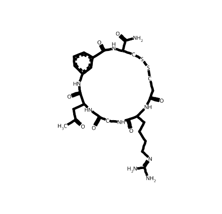 CC(=O)CC1NC(=O)CNC(=O)C(CCCCN=C(N)N)NC(=O)CCSSCC(C(N)=O)NC(=O)c2cccc(c2)NC1=O